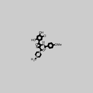 COc1ccc(C(=O)Nc2c(C(=O)N3CCN(C)CC3)noc2-c2cc(Cl)c(O)cc2O)cc1